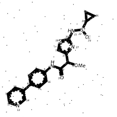 COC(C(=O)Nc1ccc(-c2cccnc2)cc1)c1csc(N[S+]([O-])C2CC2)n1